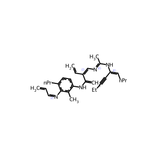 C=C/C=N\c1c(CCC)ccc(NC(=C)/C(C=C)=C\N=C(/C)N/C(C#CCC)=C/CCC)c1C